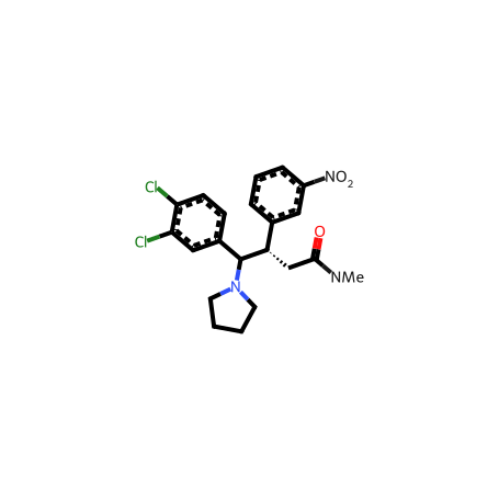 CNC(=O)C[C@@H](c1cccc([N+](=O)[O-])c1)C(c1ccc(Cl)c(Cl)c1)N1CCCC1